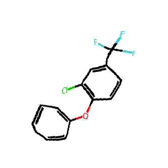 FC(F)(F)c1ccc(Oc2c[c]ccc2)c(Cl)c1